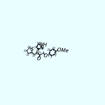 COc1ccc(OCC(=O)N(CC2CCCS2)c2cc[nH]n2)cc1